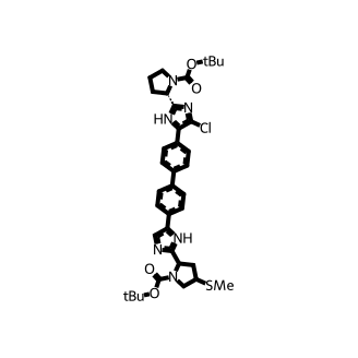 CSC1CC(c2ncc(-c3ccc(-c4ccc(-c5[nH]c([C@@H]6CCCN6C(=O)OC(C)(C)C)nc5Cl)cc4)cc3)[nH]2)N(C(=O)OC(C)(C)C)C1